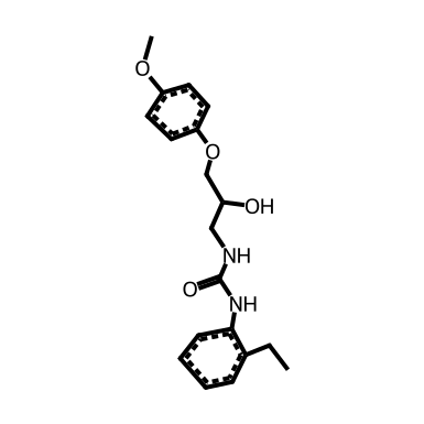 CCc1ccccc1NC(=O)NCC(O)COc1ccc(OC)cc1